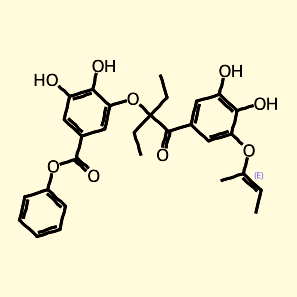 C/C=C(\C)Oc1cc(C(=O)C(CC)(CC)Oc2cc(C(=O)Oc3ccccc3)cc(O)c2O)cc(O)c1O